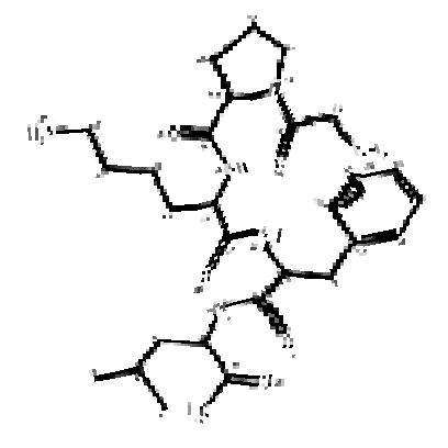 CC(C)CC(NC(=O)C(Cc1ccccc1)NC(=O)C(CCCCN)NC(=O)C1CCCN1C(=O)CN)C(=O)O